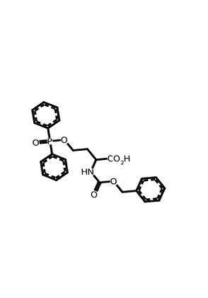 O=C(NC(CCOP(=O)(c1ccccc1)c1ccccc1)C(=O)O)OCc1ccccc1